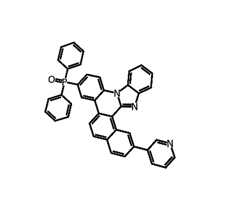 O=P(c1ccccc1)(c1ccccc1)c1ccc2c(c1)c1ccc3ccc(-c4cccnc4)cc3c1c1nc3ccccc3n21